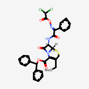 COCC1=C(C(=O)OC(c2ccccc2)c2ccccc2)N2C(=O)[C@@H](NC(=O)C(=NOC(=O)C(Cl)Cl)c3ccccc3)[C@@H]2SC1